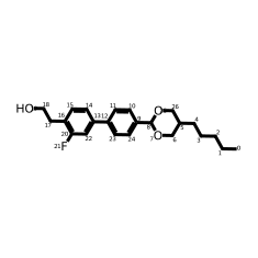 CCCCCC1COC(c2ccc(-c3ccc(CCO)c(F)c3)cc2)OC1